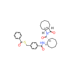 O=C(N[C@H]1CCCCCC[C@H]1C(=O)N1C(=O)[C@@H]2CCCCCC[C@@H]21)c1ccc(CSC(=O)c2ccccc2)cc1